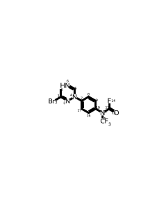 C/C(Br)=N\N(C=N)c1ccc(N(C(=O)F)C(F)(F)F)cc1